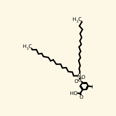 CCCCCCCCCCCCCCCCN(CCCCCCCCCCCCCCCC)S(=O)(=O)c1cc(I)cc(C(=O)O)c1